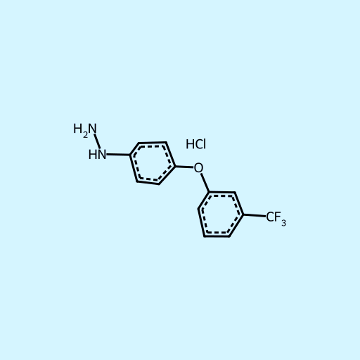 Cl.NNc1ccc(Oc2cccc(C(F)(F)F)c2)cc1